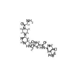 CC(NC(O)c1cc(N2CCN(C(=O)CN)CC2)ncn1)c1ncc(C(=O)Nc2cc(C(F)(F)F)c(Cl)cn2)s1